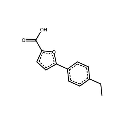 CCc1ccc(-c2ccc(C(=O)O)o2)cc1